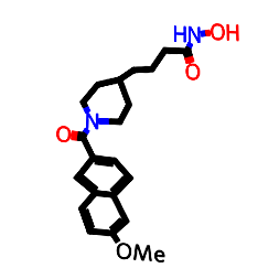 COc1ccc2cc(C(=O)N3CCC(CCCC(=O)NO)CC3)ccc2c1